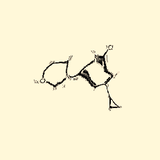 Clc1cc(C2CC2)cc(N2CCOCC2)n1